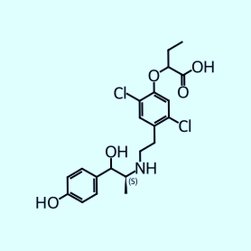 CCC(Oc1cc(Cl)c(CCN[C@@H](C)C(O)c2ccc(O)cc2)cc1Cl)C(=O)O